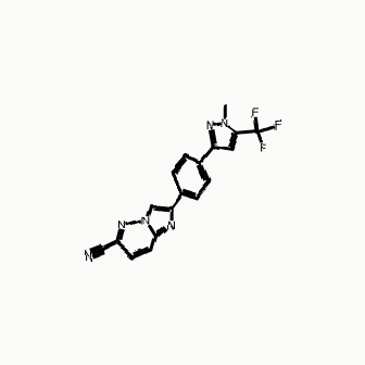 Cn1nc(-c2ccc(-c3cn4nc(C#N)ccc4n3)cc2)cc1C(F)(F)F